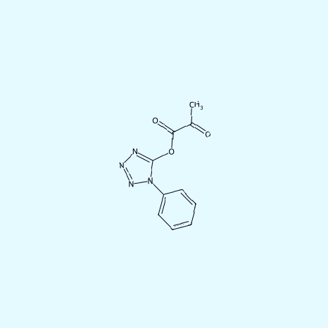 CC(=O)C(=O)Oc1nnnn1-c1ccccc1